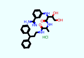 CC(NC(=O)C(Nc1cccc(C(=N)N)c1)C(O)CO)C(=O)NCCC(c1ccccc1)c1ccccc1.Cl